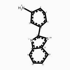 Nc1cccc(-c2nc3ccccc3s2)c1